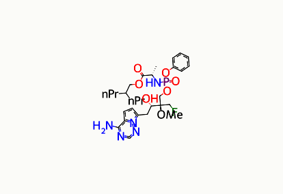 CCCC(CCC)COC(=O)[C@H](C)NP(=O)(OC[C@@](CF)(OC)[C@@H](O)Cc1ccc2c(N)ncnn12)Oc1ccccc1